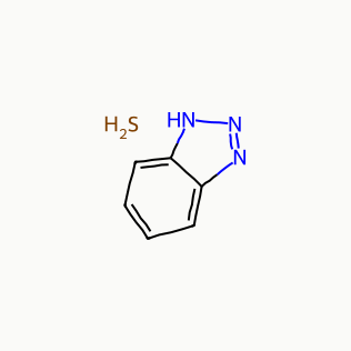 S.c1ccc2[nH]nnc2c1